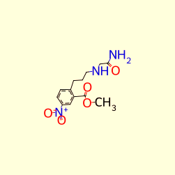 COC(=O)c1cc([N+](=O)[O-])ccc1CCCNCC(N)=O